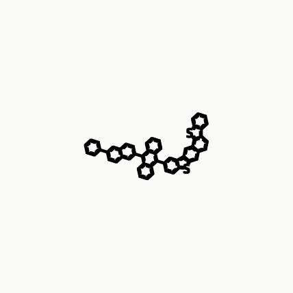 c1ccc(-c2ccc3cc(-c4c5ccccc5c(-c5ccc6sc7cc8ccc9c%10ccccc%10sc9c8cc7c6c5)c5ccccc45)ccc3c2)cc1